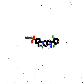 CNS(=O)(=O)c1ccc(N2CCc3[nH]c(-c4c(F)cccc4F)cc3C2)c(C)c1